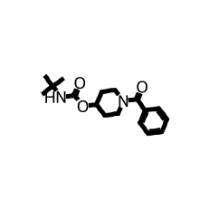 CC(C)(C)NC(=O)OC1CCN(C(=O)c2ccccc2)CC1